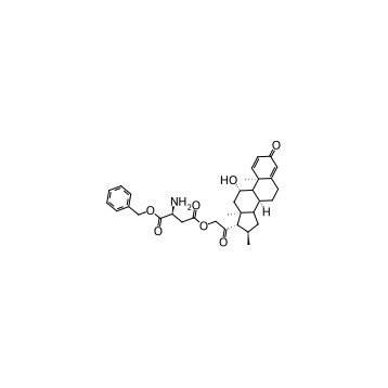 C[C@@H]1CC2[C@@H]3CCC4=CC(=O)C=C[C@]4(C)C3[C@@H](O)C[C@]2(C)[C@H]1C(=O)COC(=O)C[C@H](N)C(=O)OCc1ccccc1